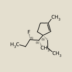 CCC[C@@]1([C@H](C)[C@@H](F)CC)C=C(C)CC1